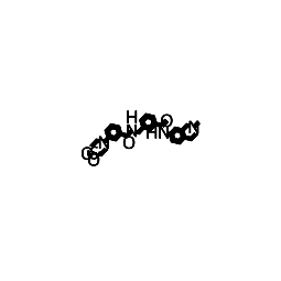 CN1CCc2ccc(NC(=O)c3cccc(CNC(=O)c4cccc(N5CCS(=O)(=O)CC5)c4)c3)cc2C1